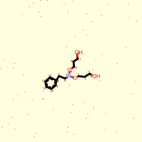 OCCCON(CCc1ccccc1)OCCCO